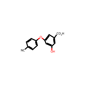 N#Cc1ccc(Oc2cc(O)cc(C(=O)O)c2)cc1